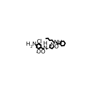 CCCCC(NC(=O)C1CCCCC1)N1CC[C@H](CNC(=O)c2cc(Cl)c(N)cc2OC)C1